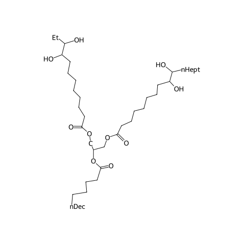 CCCCCCCCCCCCCCC(=O)OC(COC(=O)CCCCCCCC(O)C(O)CC)COC(=O)CCCCCCCC(O)C(O)CCCCCCC